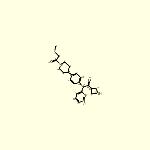 CSCC(=O)N1CCC(c2ccc(N(C(=O)C3CNC3)c3cccnn3)cc2)CC1